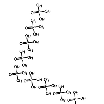 O=P(O)(O)O.O=P(O)(O)O.O=P(O)(O)O.O=P(O)(O)O.O=P(O)(O)O.O=P(O)(O)O.O=P(O)(O)O.O=P(O)(O)O.O=P(O)(O)O